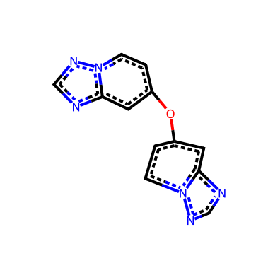 c1nc2cc(Oc3ccn4ncnc4c3)ccn2n1